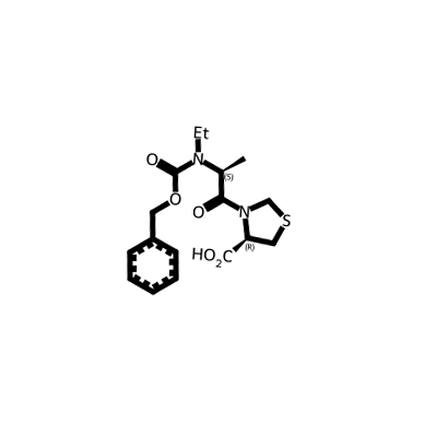 CCN(C(=O)OCc1ccccc1)[C@@H](C)C(=O)N1CSC[C@H]1C(=O)O